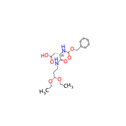 CCOC(CCNC(=O)[C@H](CC(=O)O)NC(=O)OCc1ccccc1)OCC